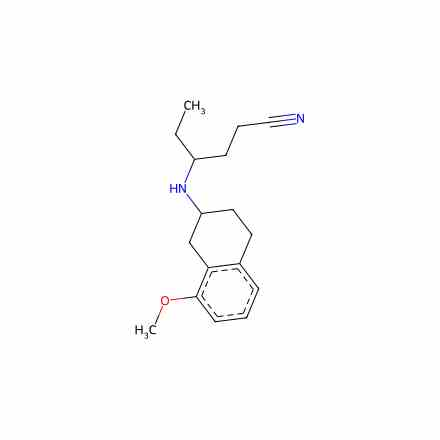 CCC(CCC#N)NC1CCc2cccc(OC)c2C1